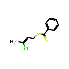 CC(Cl)=CCSC(=S)c1ccccc1